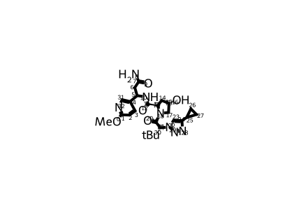 COc1ccc(C(CC(N)=O)NC(=O)[C@H]2C[C@H](O)CN2C(=O)[C@H](n2cc(C3CC3)nn2)C(C)(C)C)cn1